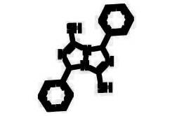 SC1=NC(c2ccccc2)N2C(S)=NC(c3ccccc3)N12